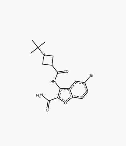 CC(C)(C)N1CC(C(=O)Nc2c(C(N)=O)oc3ccc(Br)cc23)C1